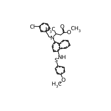 COC(=O)CC(C)N(Cc1cccc(Cl)c1)c1ccc(NSc2ccc(OC)cc2)c2ccccc12